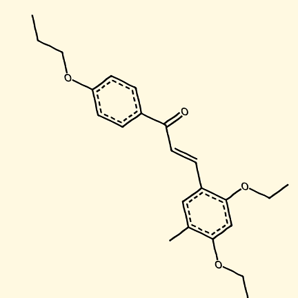 CCCOc1ccc(C(=O)C=Cc2cc(C)c(OCC)cc2OCC)cc1